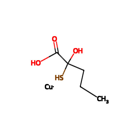 CCCC(O)(S)C(=O)O.[Cu]